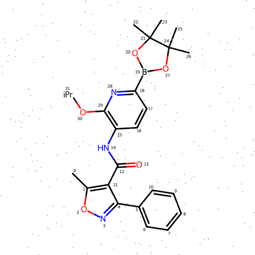 Cc1onc(-c2ccccc2)c1C(=O)Nc1ccc(B2OC(C)(C)C(C)(C)O2)nc1OC(C)C